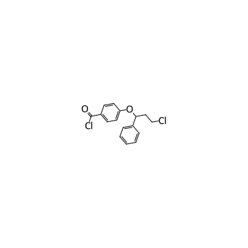 O=C(Cl)c1ccc(OC(CCCl)c2ccccc2)cc1